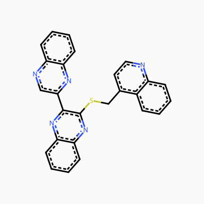 c1ccc2nc(-c3nc4ccccc4nc3SCc3ccnc4ccccc34)cnc2c1